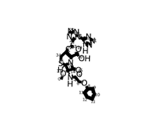 CO[C@@]1(NC(=O)COc2ccccc2)C(=O)N2C(C(=O)O)=C(CSc3nnnn3-c3nnn[nH]3)CS[C@@H]21